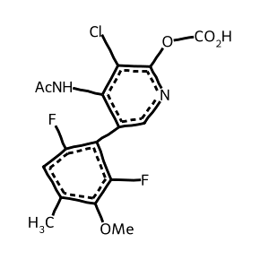 COc1c(C)cc(F)c(-c2cnc(OC(=O)O)c(Cl)c2NC(C)=O)c1F